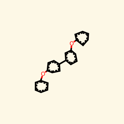 c1ccc(Oc2ccc(-c3cccc(Oc4ccccc4)c3)cc2)cc1